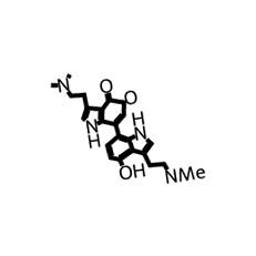 CNCCc1c[nH]c2c(C3=CC(=O)C(=O)c4c(CCN(C)C)c[nH]c43)ccc(O)c12